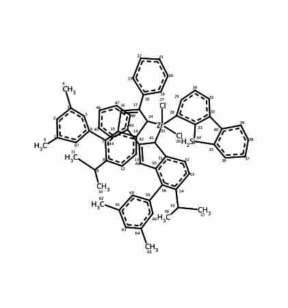 Cc1cc(C)cc(-c2c(C(C)C)ccc3c2C=C(c2ccccc2)[CH]3[Zr]([Cl])([Cl])([c]2cccc3c2[SiH2]c2ccccc2-3)[CH]2C(c3ccccc3)=Cc3c2ccc(C(C)C)c3-c2cc(C)cc(C)c2)c1